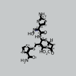 NC(=O)c1ncsc1SCC1=C(C(=O)O)N2C(=O)C[C@H]2SC1NC(=O)/C(=N\O)c1csc(N)n1